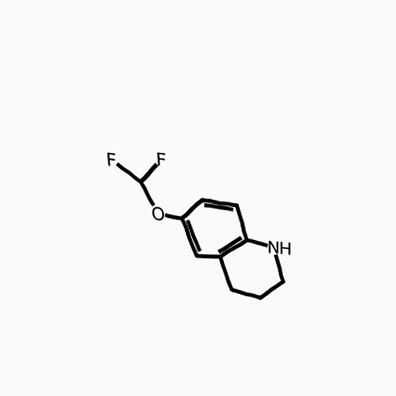 FC(F)Oc1ccc2c(c1)CCCN2